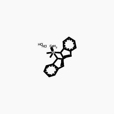 CC1=Cc2ccccc2[CH]1[Zr]([CH3])([CH3])(=[GeH2])[CH]1C(C)=Cc2ccccc21.Cl.Cl